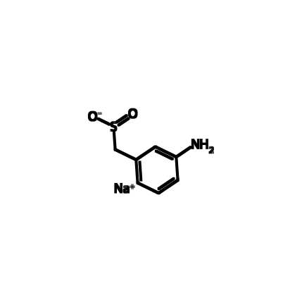 Nc1cccc(CS(=O)[O-])c1.[Na+]